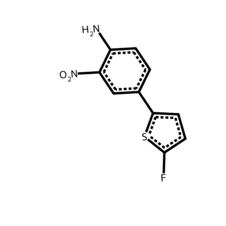 Nc1ccc(-c2ccc(F)s2)cc1[N+](=O)[O-]